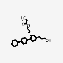 C=CC(=O)OCCOc1cc(CCCO)ccc1-c1ccc(C2CCCCC2)cc1